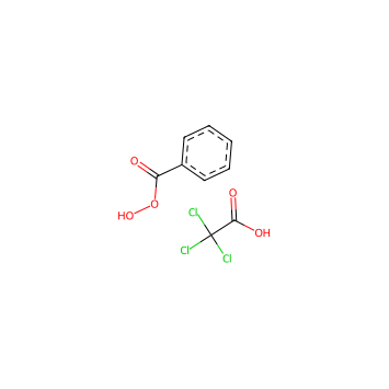 O=C(O)C(Cl)(Cl)Cl.O=C(OO)c1ccccc1